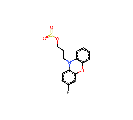 CCc1ccc2c(c1)Oc1ccccc1N2CCCO[SH](=O)=O